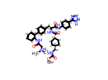 CN(C)CC(=O)Nc1ccccc1-c1ccc(C[C@H](NC(=O)[C@H]2CC[C@H](CNC(=O)OC(C)(C)C)CC2)C(=O)Nc2ccc(-c3nnn[nH]3)cc2)cc1